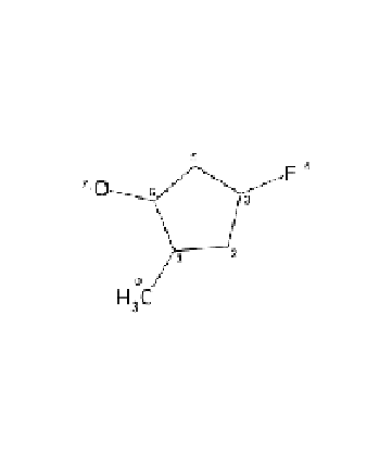 CC1CC(F)CC1[O]